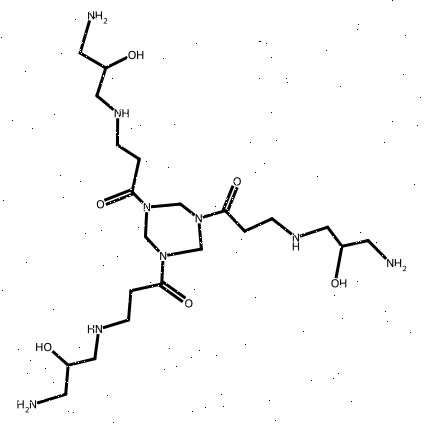 NCC(O)CNCCC(=O)N1CN(C(=O)CCNCC(O)CN)CN(C(=O)CCNCC(O)CN)C1